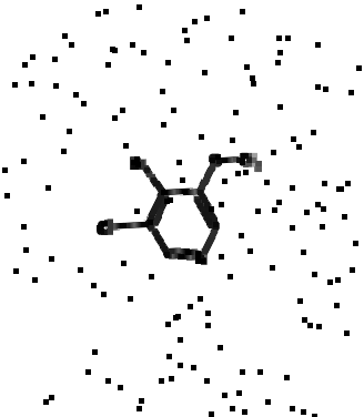 COc1cncc(Cl)c1Br